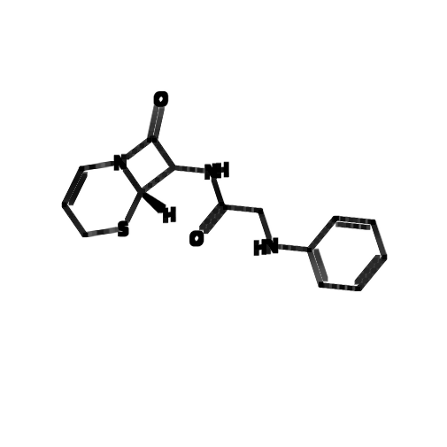 O=C(CNc1ccccc1)NC1C(=O)N2C=CCS[C@@H]12